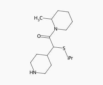 CC(C)SC(C(=O)N1CCCCC1C)C1CCNCC1